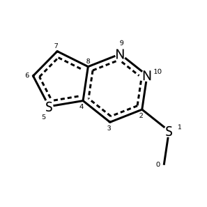 CSc1cc2sccc2nn1